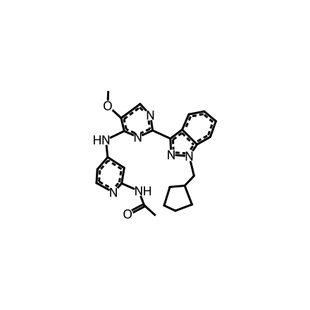 COc1cnc(-c2nn(CC3CCCC3)c3ccccc23)nc1Nc1ccnc(NC(C)=O)c1